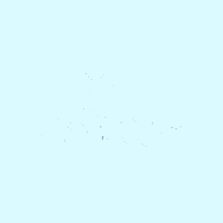 C#Cc1ccc2nc(Nc3cc(-c4cccnc4)cc(N4CCOCC4)c3)ncc2c1